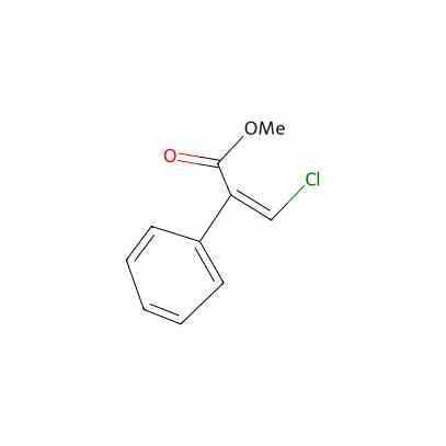 COC(=O)C(=CCl)c1ccccc1